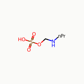 CCCNCOS(=O)(=O)O